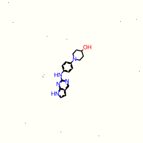 OC1CCN(c2ccc(Nc3ncc4cc[nH]c4n3)cc2)CC1